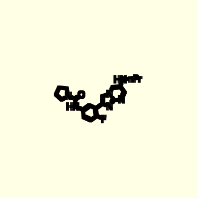 CCCNc1cnc2nc(-c3cc(NC(=O)N4CCCC4)ccc3F)cn2c1